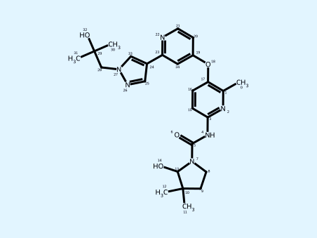 Cc1nc(NC(=O)N2CCC(C)(C)C2O)ccc1Oc1ccnc(-c2cnn(CC(C)(C)O)c2)c1